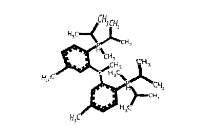 Cc1ccc([PH](C)(C(C)C)C(C)C)c(P(C)c2cc(C)ccc2[PH](C)(C(C)C)C(C)C)c1